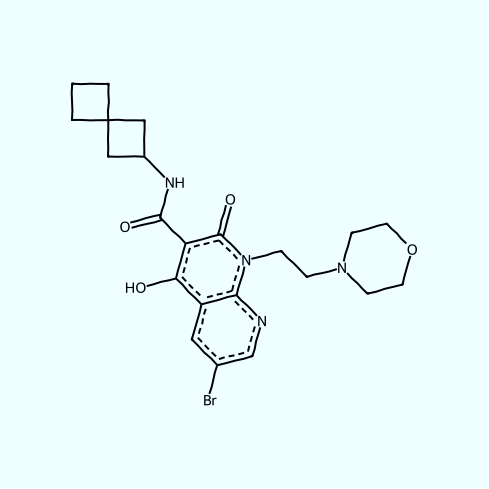 O=C(NC1CC2(CCC2)C1)c1c(O)c2cc(Br)cnc2n(CCN2CCOCC2)c1=O